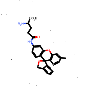 Cc1ccc2c(c1)Oc1cc(NC(=O)CCC(N)C(=O)O)ccc1C21OCc2ccccc21